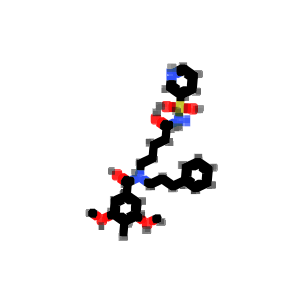 COc1cc(C(=O)N(CCCCC(=O)NS(=O)(=O)c2cccnc2)CCCc2ccccc2)cc(OC)c1C